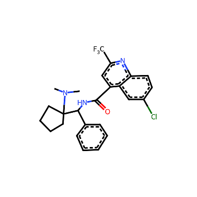 CN(C)C1(C(NC(=O)c2cc(C(F)(F)F)nc3ccc(Cl)cc23)c2ccccc2)CCCC1